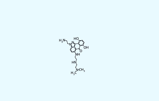 CN(C)CCNCCNc1ccc2c3c(nn2CCN)-c2c(O)ccc(O)c2C(=O)c13